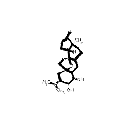 CN(C)[C@H]1C[C@@]23CC[C@@]4(O2)C(=CC[C@]2(C)C(I)=CC[C@H]24)CC3[C@@H](O)[C@@H]1O